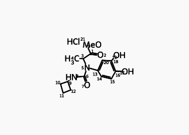 COC(=O)C(C)N(C(=O)NC1CCC1)c1ccc(O)c(O)c1.Cl